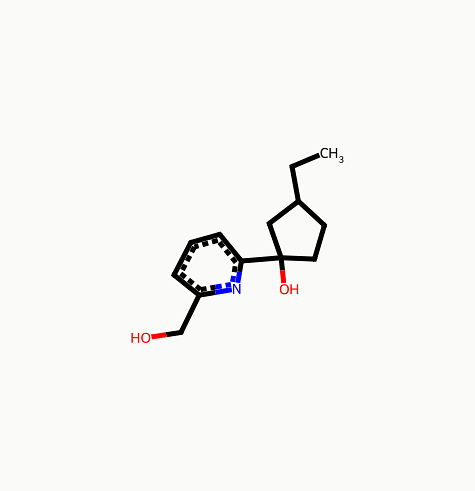 CCC1CCC(O)(c2cccc(CO)n2)C1